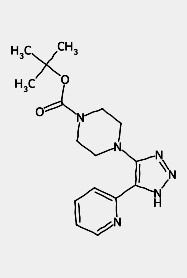 CC(C)(C)OC(=O)N1CCN(c2nn[nH]c2-c2ccccn2)CC1